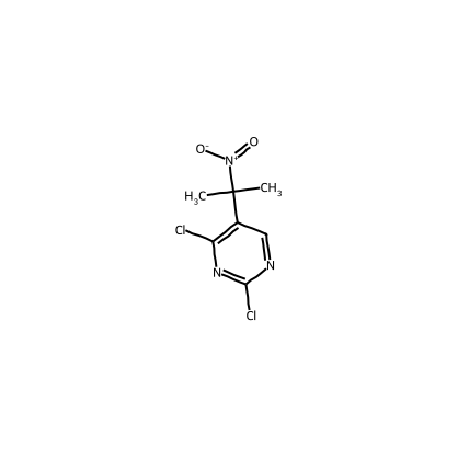 CC(C)(c1cnc(Cl)nc1Cl)[N+](=O)[O-]